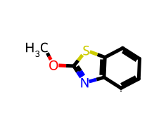 COc1nc2[c]cccc2s1